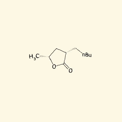 CCCCC[C@H]1C[C@@H](C)OC1=O